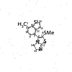 CSC1=C(c2ccc(C)c3sccc23)N2CCN=C2S1